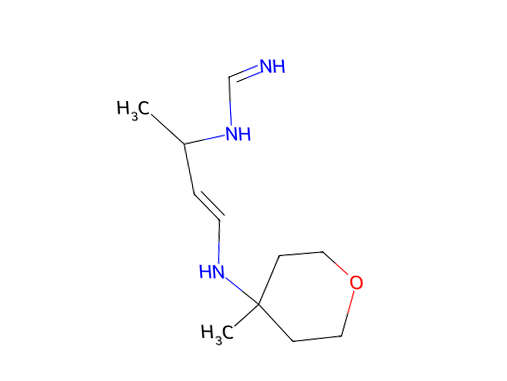 CC(/C=C/NC1(C)CCOCC1)NC=N